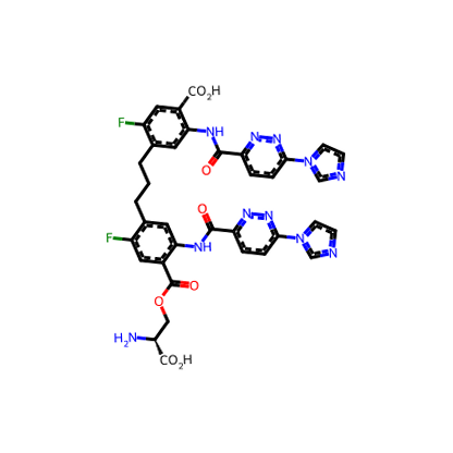 N[C@@H](COC(=O)c1cc(F)c(CCCc2cc(NC(=O)c3ccc(-n4ccnc4)nn3)c(C(=O)O)cc2F)cc1NC(=O)c1ccc(-n2ccnc2)nn1)C(=O)O